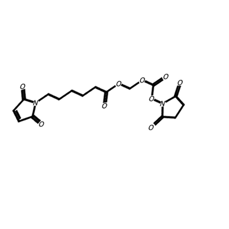 O=C(CCCCCN1C(=O)C=CC1=O)OCOC(=O)ON1C(=O)CCC1=O